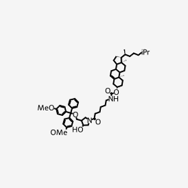 COc1ccc(C(OCC2CN(C(=O)CCCCCNC(=O)O[C@H]3CC[C@@]4(C)C(=CCC5C4CC[C@@]4(C)C5CC[C@@H]4[C@@H](C)CCCC(C)C)C3)CC2O)(c2ccccc2)c2ccc(OC)cc2)cc1